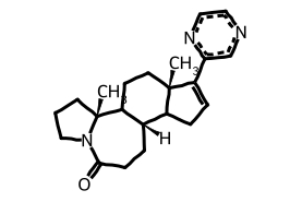 C[C@]12CCC3[C@@H](CCC(=O)N4CCC[C@]34C)C1CC=C2c1cnccn1